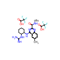 CCCCNC(=O)c1nc(NC2CCCCC2NC(=N)N)c2cc(C)ccc2n1.O=C(O)C(F)(F)F.O=C(O)C(F)(F)F